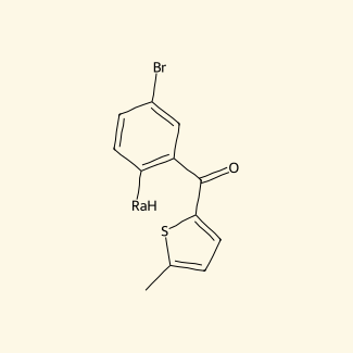 Cc1ccc(C(=O)c2cc(Br)cc[c]2[RaH])s1